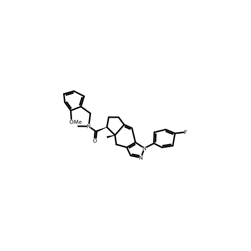 COc1ccccc1CN(C)C(=O)[C@H]1CCC2=Cc3c(cnn3-c3ccc(F)cc3)C[C@@]21C